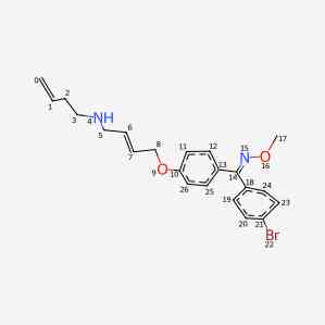 C=CCCNCC=CCOc1ccc(C(=NOC)c2ccc(Br)cc2)cc1